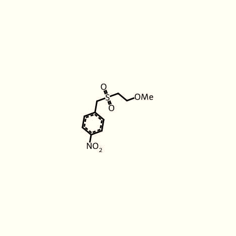 COCCS(=O)(=O)Cc1ccc([N+](=O)[O-])cc1